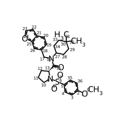 COc1ccc(S(=O)(=O)N2CCC[C@H]2C(=O)N(Cc2ccc3ccoc3c2)C2CCC(C)(C)CC2)cc1